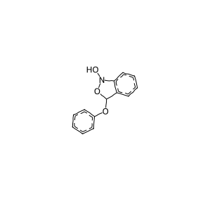 ON1OC(Oc2ccccc2)c2ccccc21